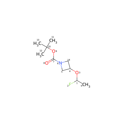 CC(F)OC1CN(C(=O)OC(C)(C)C)C1